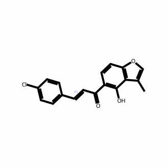 Cc1coc2ccc(C(=O)/C=C/c3ccc(Cl)cc3)c(O)c12